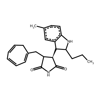 CCCC1Nc2ccc(C)cc2C1[C@H]1C(=O)NC(=O)C1CC1=CC=CC=CC1